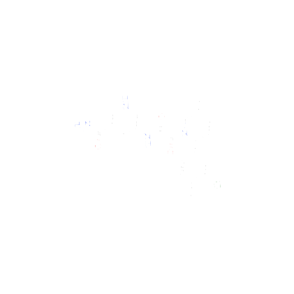 Cc1ccc(C2CCC(C)CN2C(=O)C(=O)NC2CNCC(C(N)=O)C2)cc1Cl